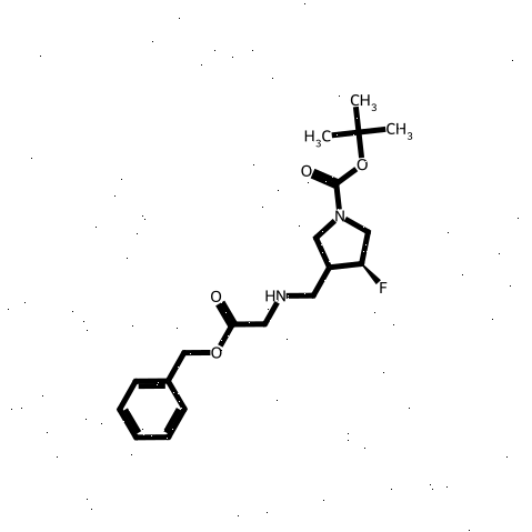 CC(C)(C)OC(=O)N1CC(CNCC(=O)OCc2ccccc2)[C@H](F)C1